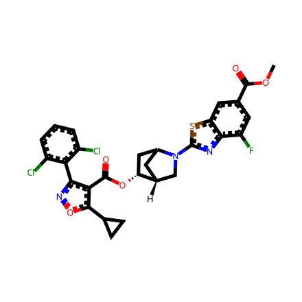 COC(=O)c1cc(F)c2nc(N3C[C@H]4CC3C[C@H]4OC(=O)c3c(-c4c(Cl)cccc4Cl)noc3C3CC3)sc2c1